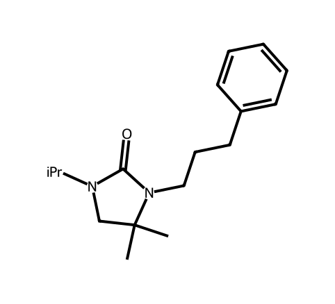 CC(C)N1CC(C)(C)N(CCCc2ccccc2)C1=O